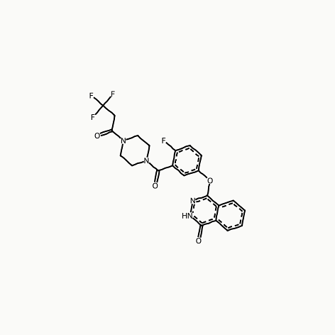 O=C(CC(F)(F)F)N1CCN(C(=O)c2cc(Oc3n[nH]c(=O)c4ccccc34)ccc2F)CC1